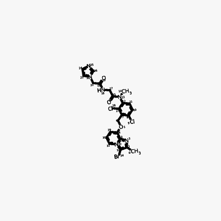 Cc1nc2c(OCc3c(Cl)ccc(N(C)C(=O)CNC(=O)Cn4ccnc4)c3Cl)cccn2c1Br